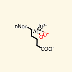 CC(=O)[O-].CC(=O)[O-].CCCCCCCCCCCCCC(=O)[O-].[In+3]